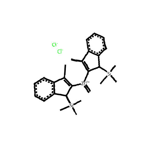 [CH2]=[Zr+2]([C]1=C(C)c2ccccc2C1[Si](C)(C)C)[C]1=C(C)c2ccccc2C1[Si](C)(C)C.[Cl-].[Cl-]